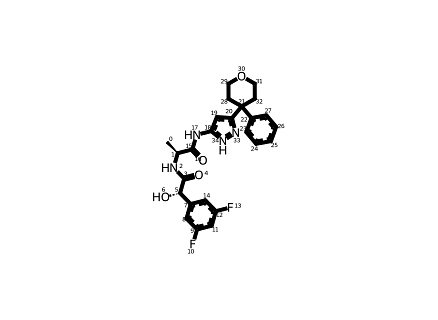 C[C@H](NC(=O)[C@@H](O)c1cc(F)cc(F)c1)C(=O)Nc1cc(C2(c3ccccc3)CCOCC2)n[nH]1